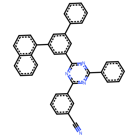 N#Cc1cccc(-c2nc(-c3ccccc3)nc(-c3cc(-c4ccccc4)cc(-c4cccc5ccccc45)c3)n2)c1